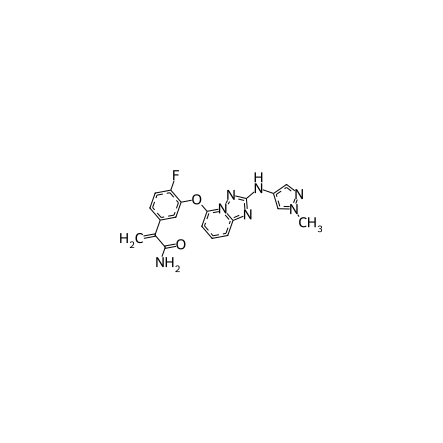 C=C(C(N)=O)c1ccc(F)c(Oc2cccc3nc(Nc4cnn(C)c4)nn23)c1